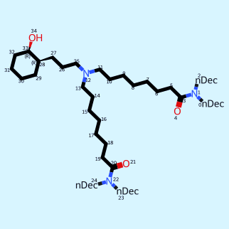 CCCCCCCCCCN(CCCCCCCCCC)C(=O)CCCCCCCN(CCCCCCCC(=O)N(CCCCCCCCCC)CCCCCCCCCC)CCC[C@H]1CCCC[C@H]1O